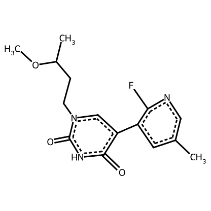 COC(C)CCn1cc(-c2cc(C)cnc2F)c(=O)[nH]c1=O